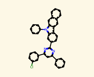 Clc1cccc(-c2cc(-c3ccccc3)nc(-c3ccc4c5cc6ccccc6cc5n(-c5ccccc5)c4c3)n2)c1